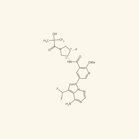 COc1ncc(-c2cc(C(F)F)c3c(N)ncnn23)cc1C(=O)N[C@@H]1CN(C(=O)C(C)(O)C(F)(F)F)C[C@@H]1F